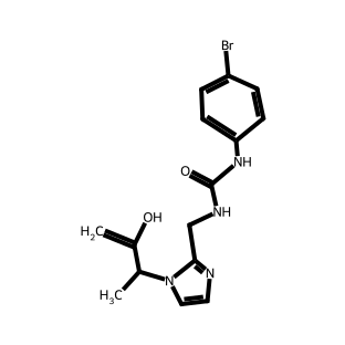 C=C(O)C(C)n1ccnc1CNC(=O)Nc1ccc(Br)cc1